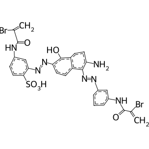 C=C(Br)C(=O)Nc1cccc(N=Nc2c(N)ccc3c(O)c(N=Nc4cc(NC(=O)C(=C)Br)ccc4S(=O)(=O)O)ccc23)c1